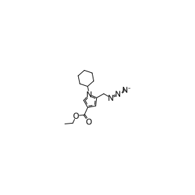 CCOC(=O)c1cc(CN=[N+]=[N-])n(C2CCCCC2)c1